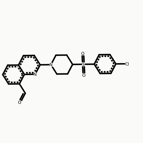 O=Cc1cccc2ccc(N3CCC(S(=O)(=O)c4ccc(Cl)cc4)CC3)nc12